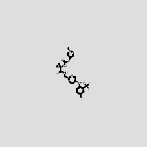 Cn1cc(OC(=O)NC2(C(=O)NCc3ccc(Nc4ccc(Cl)cc4C(F)(F)F)cn3)CC2)cn1